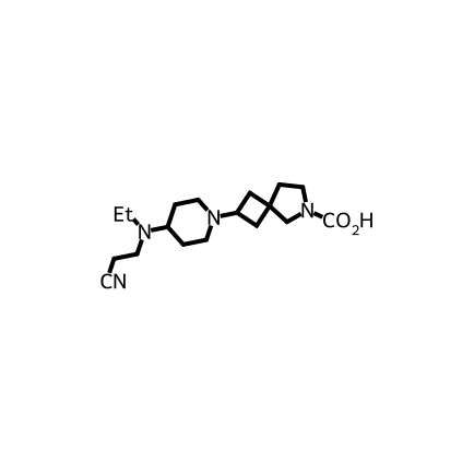 CCN(CCC#N)C1CCN(C2CC3(CCN(C(=O)O)C3)C2)CC1